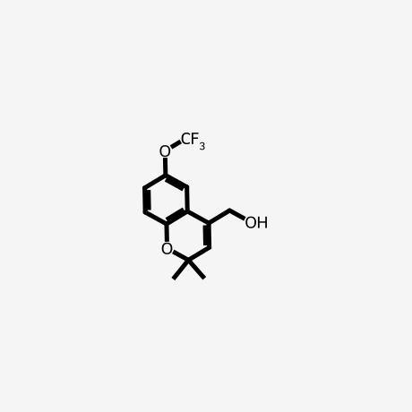 CC1(C)C=C(CO)c2cc(OC(F)(F)F)ccc2O1